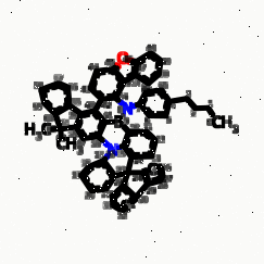 CCCCc1ccc(N2B3c4cccc5c4N(c4ccccc4C54c5ccccc5-c5ccccc54)c4cc5c(c(c43)-c3ccc4oc6ccccc6c4c32)-c2ccccc2C5(C)C)cc1